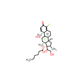 CCCCCC(=O)O[C@@]1(C(=O)CO)[C@H](C)C[C@H]2[C@@H]3CCC4=C(F)C(=O)C=C[C@]4(C)[C@@]3(F)[C@@H](O)C[C@@]21C